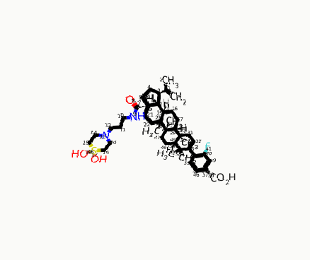 C=C(C)[C@@H]1CC[C@]2(C(=O)NCCCN3CCS(O)(O)CC3)CC[C@]3(C)[C@H](CC[C@@H]4[C@@]5(C)CC=C(c6ccc(C(=O)O)cc6F)C(C)(C)[C@@H]5CC[C@]43C)[C@@H]12